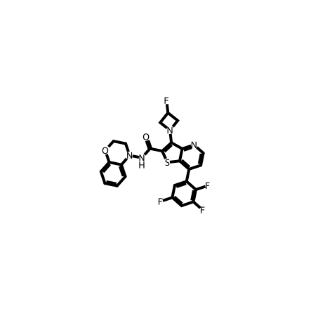 O=C(NN1CCOc2ccccc21)c1sc2c(-c3cc(F)cc(F)c3F)ccnc2c1N1CC(F)C1